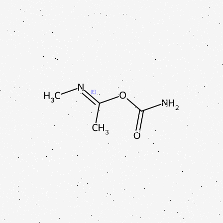 C/N=C(\C)OC(N)=O